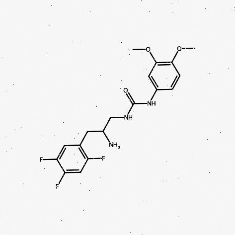 COc1ccc(NC(=O)NCC(N)Cc2cc(F)c(F)cc2F)cc1OC